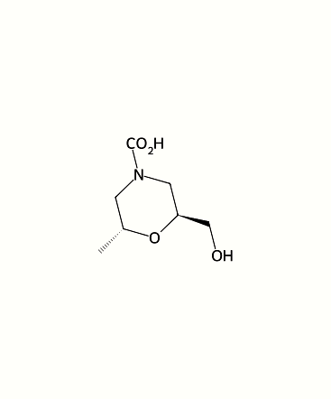 C[C@@H]1CN(C(=O)O)C[C@@H](CO)O1